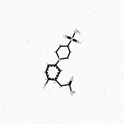 CS(=O)(=O)C1CCN(c2ccc(F)c(CC(=O)O)c2)CC1